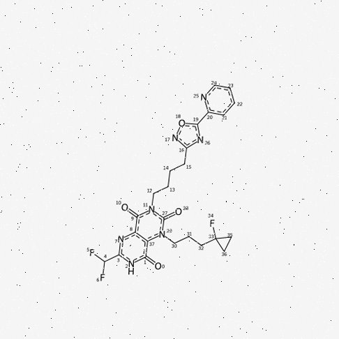 O=c1[nH]c(C(F)F)nc2c(=O)n(CCCCc3noc(-c4ccccn4)n3)c(=O)n(CCCC3(F)CC3)c12